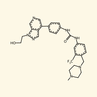 CN1CCN(Cc2ccc(NC(=O)Nc3ccc(-c4cncc5c4cnn5CCO)cc3)cc2C(F)(F)F)CC1